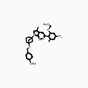 COCOc1cc(C(F)(F)F)cc(C)c1-c1cc2c(I)cn(C34CCCC(OCc5ccc(OC)cc5)(C3)C4)c2nn1